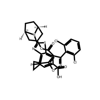 O=C(O)c1cc(F)c2nc(N3[C@@H]4CC[C@H]3CC(OC(=O)c3c(-c5c(Cl)cccc5Cl)noc3C3CC3)C4)sc2c1